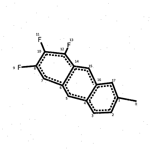 Cc1ccc2cc3cc(F)c(F)c(F)c3cc2c1